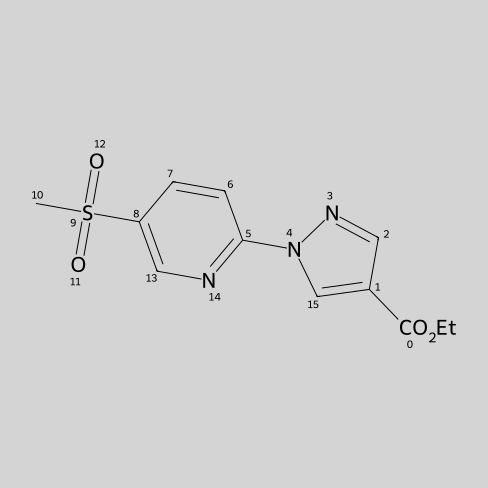 CCOC(=O)c1cnn(-c2ccc(S(C)(=O)=O)cn2)c1